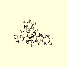 Cc1c(Cl)cccc1S(=O)(=O)Nc1cc2nccnc2nc1OCc1cccnc1